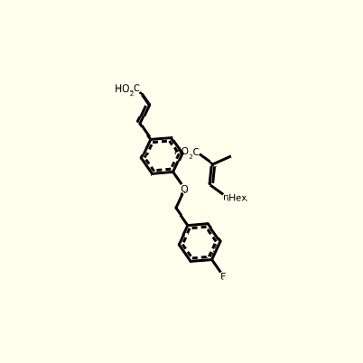 CCCCCCC=C(C)C(=O)O.O=C(O)C=Cc1ccc(OCc2ccc(F)cc2)cc1